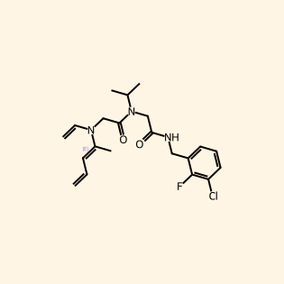 C=C/C=C(\C)N(C=C)CC(=O)N(CC(=O)NCc1cccc(Cl)c1F)C(C)C